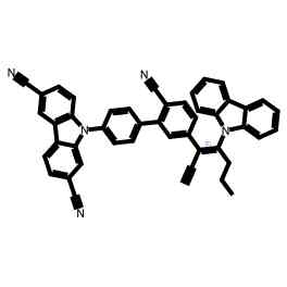 C#C/C(=C(\CCC)n1c2ccccc2c2ccccc21)c1ccc(C#N)c(-c2ccc(-n3c4ccc(C#N)cc4c4ccc(C#N)cc43)cc2)c1